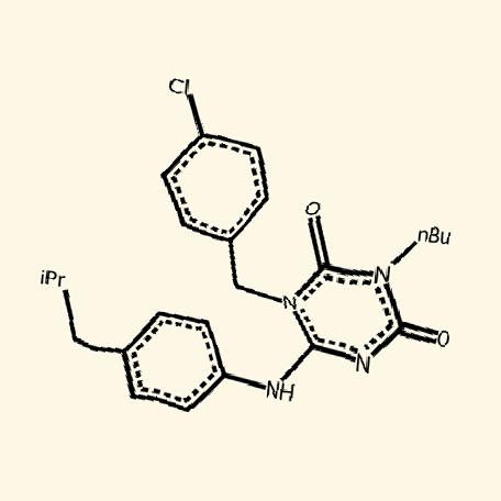 CCCCn1c(=O)nc(Nc2ccc(CC(C)C)cc2)n(Cc2ccc(Cl)cc2)c1=O